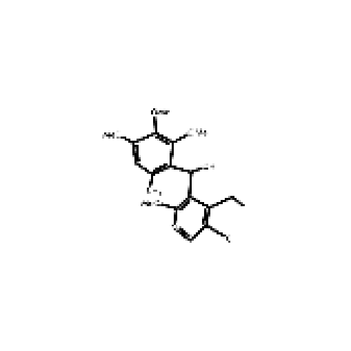 COc1cc(C)c(C(O)c2c(OC)ncc(Cl)c2CF)c(OC)c1OC